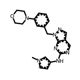 Cn1[c]cc(Nc2ncc3cnn(Cc4cccc(N5CCOCC5)c4)c3n2)c1